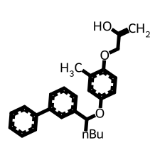 C=C(O)COc1ccc(OC(CCCC)c2cccc(-c3ccccc3)c2)cc1C